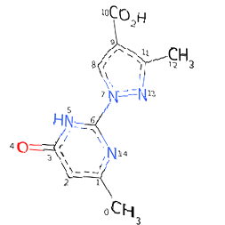 Cc1cc(=O)[nH]c(-n2cc(C(=O)O)c(C)n2)n1